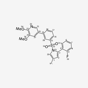 [CH2]c1cc(-c2ccccc2F)n(S(=O)(=O)c2cccc(-c3cnc(OC)c(OC)c3)c2)c1